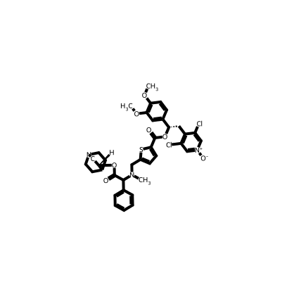 COc1ccc([C@H](Cc2c(Cl)c[n+]([O-])cc2Cl)OC(=O)c2ccc(CN(C)C(C(=O)O[C@H]3CN4CCC3CC4)c3ccccc3)s2)cc1OC